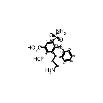 Cl.NCCCc1cc(C(=O)O)cc(S(N)(=O)=O)c1Sc1ccccc1